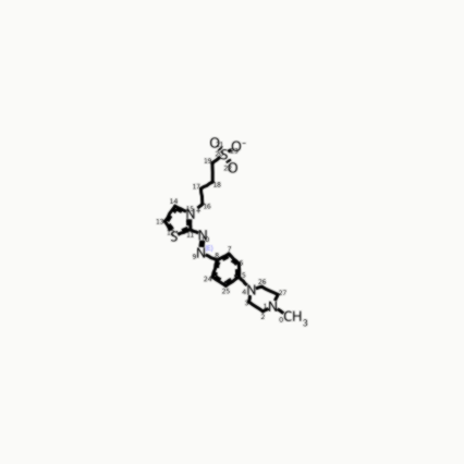 CN1CCN(c2ccc(/N=N/c3scc[n+]3CCCCS(=O)(=O)[O-])cc2)CC1